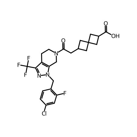 O=C(O)C1CC2(CC(CC(=O)N3CCc4c(C(F)(F)F)nn(Cc5ccc(Cl)cc5F)c4C3)C2)C1